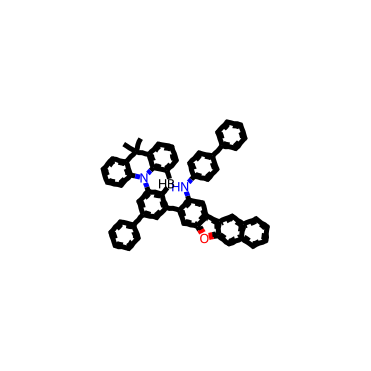 CC1(C)c2ccccc2N2c3cc(-c4ccccc4)cc(-c4cc5oc6cc7ccccc7cc6c5cc4Nc4ccc(-c5ccccc5)cc4)c3Bc3cccc1c32